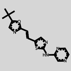 CC(C)(C)c1cnc(C=Cc2cnc(Nc3cnccn3)s2)o1